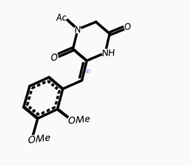 COc1cccc(/C=C2/NC(=O)CN(C(C)=O)C2=O)c1OC